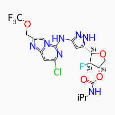 CC(C)NC(=O)O[C@H]1CO[C@@H](c2cc(Nc3nc(Cl)cc4nc(COC(F)(F)F)cn34)n[nH]2)[C@@H]1F